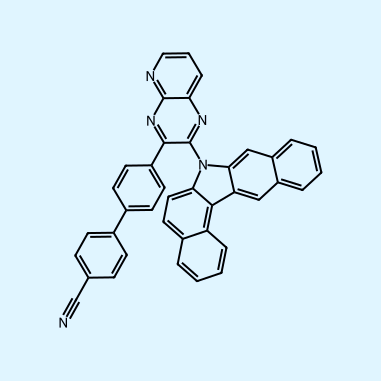 N#Cc1ccc(-c2ccc(-c3nc4ncccc4nc3-n3c4cc5ccccc5cc4c4c5ccccc5ccc43)cc2)cc1